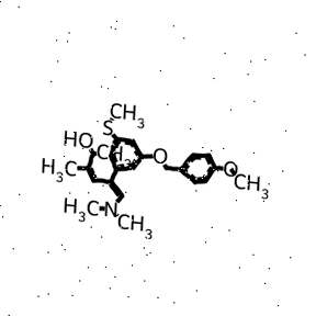 COc1ccc(COc2cc(SC)cc(C(/C=C(/C)C(C)O)=C/N(C)C)c2)cc1